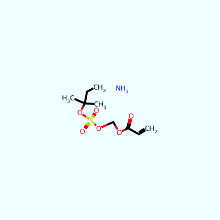 C=CC(=O)OCOS(=O)(=O)OC(C)(C)CC.N